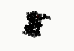 CC(=O)CCCN(C)C(=O)c1c(F)c(F)c(SCCS(C)(=O)=O)c(F)c1C1=c2cc3c4c(c2Oc2c1cc1c5c2CCCN5C(C)(C)C=C1CO)CCC[N+]=4C(C)(C)C=C3CO